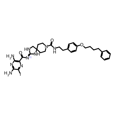 Nc1nc(N)c(C(=O)/N=C2\NCC3(CCN(C(=O)NCCc4ccc(OCCCCc5ccccc5)cc4)CC3)N2)nc1I